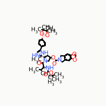 CC(C)[C@H](NC(=O)OC(C)(C)C)C(=O)N1C[C@H](OC(=O)N2Cc3cc4c(cc3C2)OCO4)C[C@H]1C1(C)NC=C(c2ccc(B3OC(C)(C)C(C)(C)O3)cc2)N1